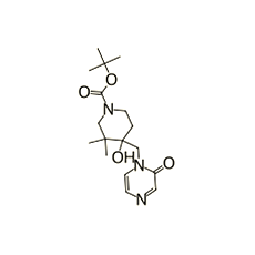 CC(C)(C)OC(=O)N1CCC(O)(Cn2ccncc2=O)C(C)(C)C1